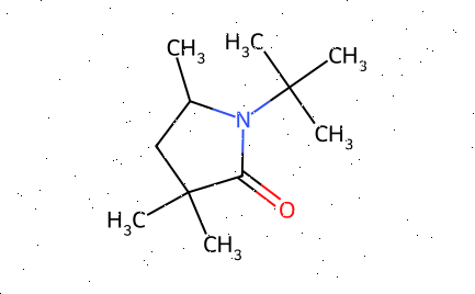 CC1CC(C)(C)C(=O)N1C(C)(C)C